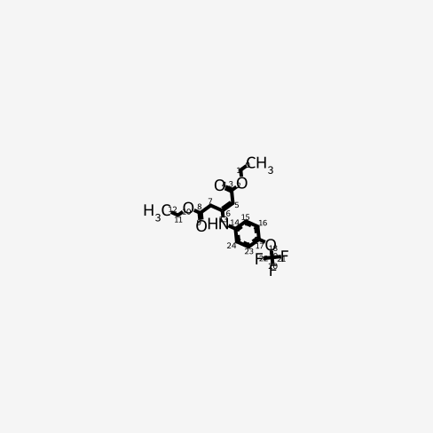 CCOC(=O)C=C(CC(=O)OCC)Nc1ccc(OC(F)(F)F)cc1